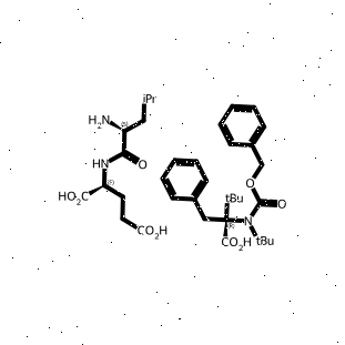 CC(C)(C)N(C(=O)OCc1ccccc1)[C@@](Cc1ccccc1)(C(=O)O)C(C)(C)C.CC(C)C[C@H](N)C(=O)N[C@@H](CCC(=O)O)C(=O)O